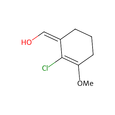 COC1=C(Cl)/C(=C\O)CCC1